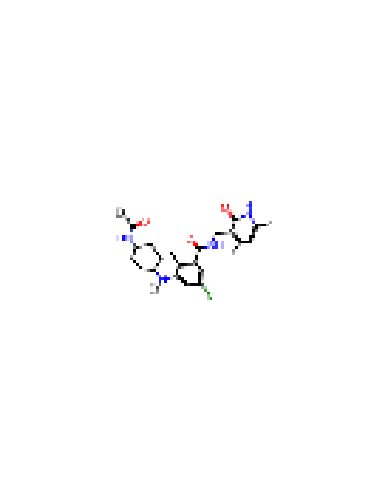 CCC(=O)NC1CCC(N(CC)c2cc(Cl)cc(C(=O)NCc3c(C)cc(C)[nH]c3=O)c2C)CC1